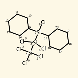 Cl[Si](Cl)(Cl)[Si](Cl)(Cl)[Si](Cl)(C1CCCCC1)C1CCCCC1